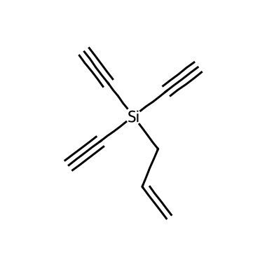 C#C[Si](C#C)(C#C)CC=C